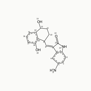 Nc1ccc2c(c1)C(=CC1CCC(O)c3cccc(O)c31)C(=O)N2